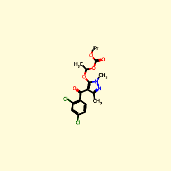 Cc1nn(C)c(OC(C)OC(=O)OC(C)C)c1C(=O)c1ccc(Cl)cc1Cl